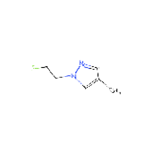 Cc1[c]nn(CCF)[c]1